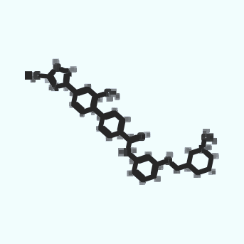 Cc1nc(-c2ccc(-c3ccc(C(=O)Nc4cccc(OCC5CCCN(C)C5)c4)cc3)c(C)c2)no1